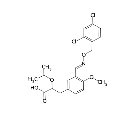 COc1ccc(CC(OC(C)C)C(=O)O)cc1C=NOCc1ccc(Cl)cc1Cl